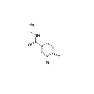 CCn1cc(C(=O)NCC(C)(C)C)ccc1=O